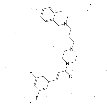 O=C(/C=C/c1cc(F)cc(F)c1)N1CCN(CCCN2CCc3ccccc3C2)CC1